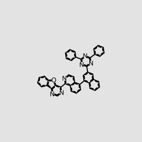 c1ccc(-c2nc(-c3ccccc3)nc(-c3cc(-c4cccc5c(-c6ncnc7c6oc6ccccc67)nccc45)c4ccccc4c3)n2)cc1